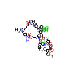 CN(CCCCCC(=O)N(C)CCN1CCC(N(C(=O)O)c2ccccc2-c2ccccc2)CC1)Cc1ccc(NC(=O)OCCCCN(C)C(=O)CO[C@H]2Cc3ccccc3C23CCN(CC[C@]2(c4ccc(Cl)c(Cl)c4)CN(C(=O)c4cc(C(F)(F)F)cc(C(F)(F)F)c4)CCO2)CC3)cc1.Cl.Cl.Cl